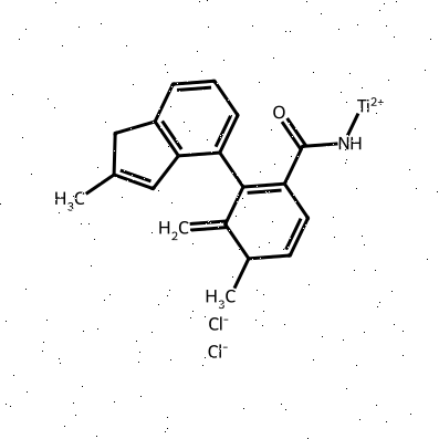 C=C1C(c2cccc3c2C=C(C)C3)=C(C(=O)[NH][Ti+2])C=CC1C.[Cl-].[Cl-]